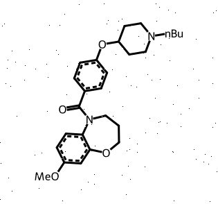 CCCCN1CCC(Oc2ccc(C(=O)N3CCCOc4cc(OC)ccc43)cc2)CC1